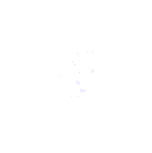 C[C@@H]1C[C@@H](O)c2ncnc(N3CCN(C(NCC4CC4)C(C=O)c4ccc(Cl)s4)CC3)c21